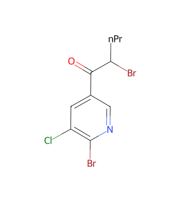 CCCC(Br)C(=O)c1cnc(Br)c(Cl)c1